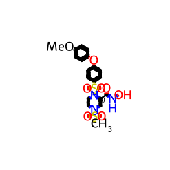 COc1ccc(Oc2ccc(S(=O)(=O)N3CCN(S(C)(=O)=O)C[C@@H]3C(=O)NO)cc2)cc1